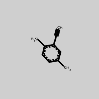 C#Cc1cc([SiH3])ccc1[SiH3]